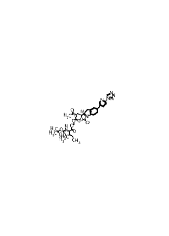 CCC(C)C(NC(=O)OC(C)(C)C)C(=O)OCOC(=O)N(C[C@@H]1OC(=O)N2c3ccc(-c4ccc(-n5cnnn5)nc4)cc3C[C@@H]12)C(C)=O